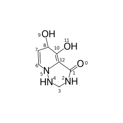 O=C1NCNN2C=CC(O)C(O)=C12